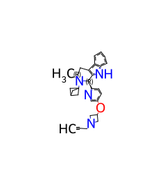 C#CCN1CC(Oc2ccc([C@@H]3c4[nH]c5ccccc5c4C[C@@H](C)N3C34CC(C3)C4)nc2)C1